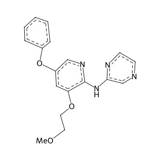 COCCOc1cc(Oc2ccccc2)cnc1Nc1cnccn1